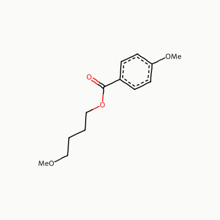 COCCCCOC(=O)c1ccc(OC)cc1